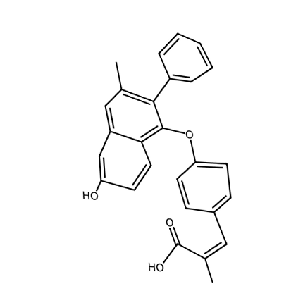 CC(=Cc1ccc(Oc2c(-c3ccccc3)c(C)cc3cc(O)ccc23)cc1)C(=O)O